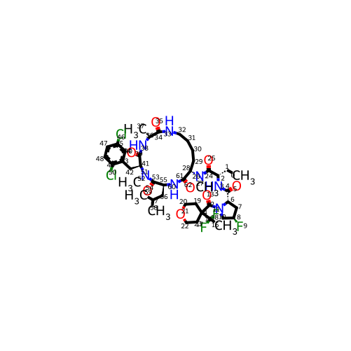 CC[C@H](NC(=O)[C@@H]1C[C@@H](F)CN1C(=O)C1(C(C)(F)F)CCOCC1)C(=O)N(C)[C@H]1CCCCNC(=O)[C@@H](C)NC(=O)[C@H](Cc2cc(Cl)ccc2Cl)N(C)C(=O)[C@H](CC(C)C)NC1=O